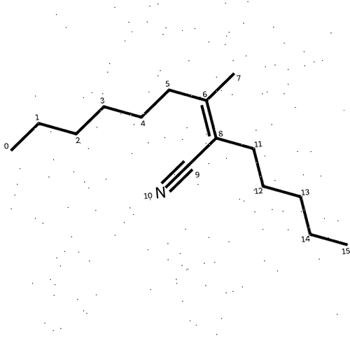 CCCCCCC(C)=C(C#N)CCCCC